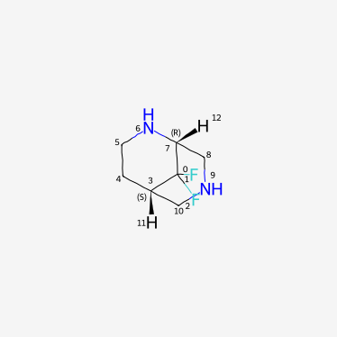 FC1(F)[C@H]2CCN[C@@H]1CNC2